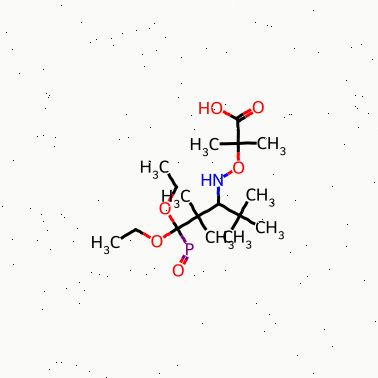 CCOC(OCC)(P=O)C(C)(C)C(NOC(C)(C)C(=O)O)C(C)(C)C